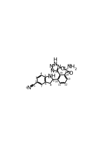 N#Cc1ccc2c(c1)CC(c1cccc(S(N)(=O)=O)c1-c1nn[nH]n1)N2